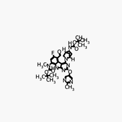 Cc1ncc(Oc2nc(N3C[C@H]4C[C@@H]3C[C@H]4NC(=O)OC(C)(C)C)c3c(n2)[nH]c2c(N(C)C(=O)OC(C)(C)C)cc(F)c(C=O)c23)cn1